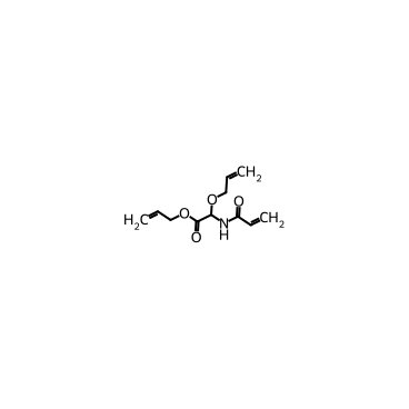 C=CCOC(=O)C(NC(=O)C=C)OCC=C